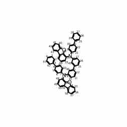 c1ccc(-c2ccc(N(c3cccc(-c4cccc(N(c5ccc(-c6ccccc6)cc5)c5cccc6c5oc5ccccc56)c4)c3)c3cccc4c3oc3ccccc34)cc2)cc1